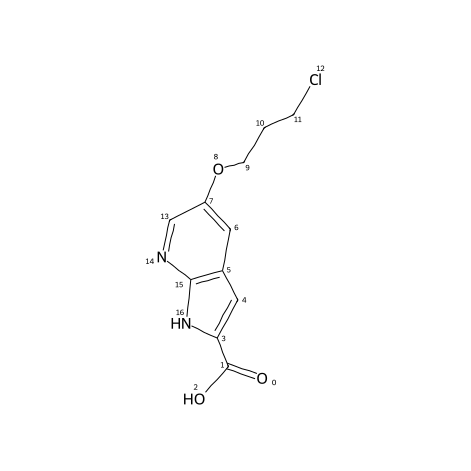 O=C(O)c1cc2cc(OCCCCl)cnc2[nH]1